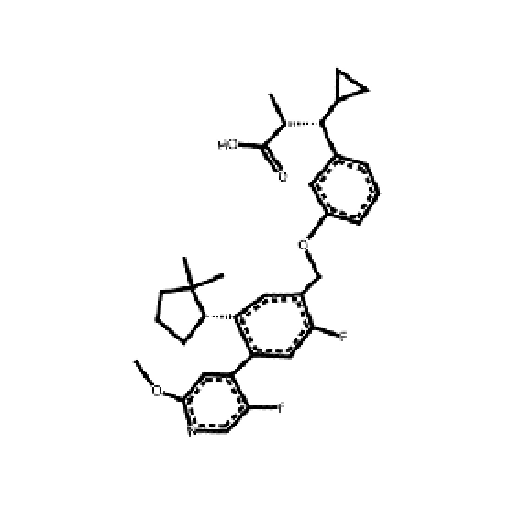 COc1cc(-c2cc(F)c(COc3cccc([C@@H](C4CC4)C(C)C(=O)O)c3)cc2[C@@H]2CCCC2(C)C)c(F)cn1